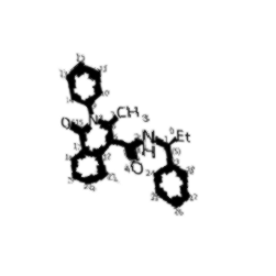 CC[C@H](NC(=O)c1c(C)n(-c2ccccc2)c(=O)c2ccccc12)c1ccccc1